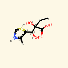 CCC(O)(C(=O)O)[C@@H](O)c1scnc1C